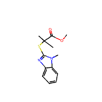 COC(=O)C(C)(C)Sc1nc2ccccc2n1C